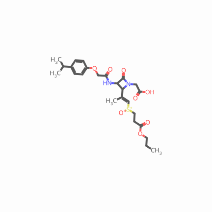 CCCOC(=O)CC[S+]([O-])C=C(C)C1C(NC(=O)COc2ccc(C(C)C)cc2)C(=O)N1CC(=O)O